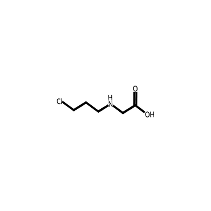 O=C(O)CNCCCCl